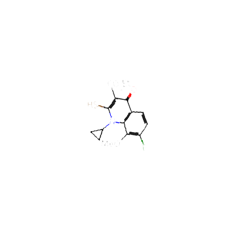 CCOC(=O)c1c(S)n(C2CC2)c2c(OC)c(F)ccc2c1=O